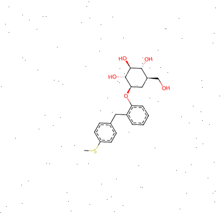 CSc1ccc(Cc2ccccc2O[C@@H]2C[C@H](CO)[C@@H](O)[C@H](O)[C@H]2O)cc1